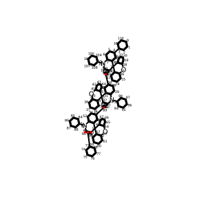 c1ccc(-c2ccc3c(c2)C2(c4ccccc4Oc4ccccc42)c2cc(-c4ccc5c(c4)C4(c6ccccc6Oc6ccccc64)c4cc(-c6ccc7c(c6)C6(c8ccccc8Oc8ccccc86)c6cc(-c8ccccc8)ccc6N7c6ccccc6)ccc4N5c4ccccc4)ccc2N3c2ccccc2)cc1